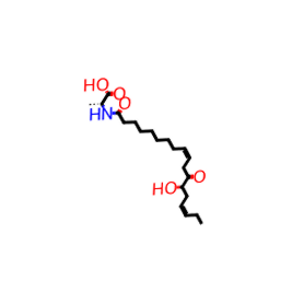 CC/C=C\CC(O)C(=O)C/C=C\CCCCCCCC(=O)N[C@H](C)C(=O)O